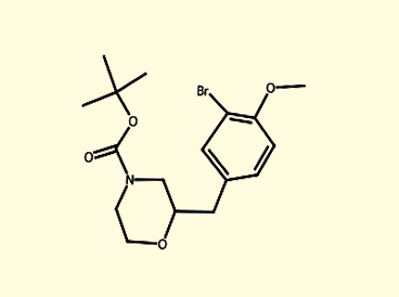 COc1ccc(CC2CN(C(=O)OC(C)(C)C)CCO2)cc1Br